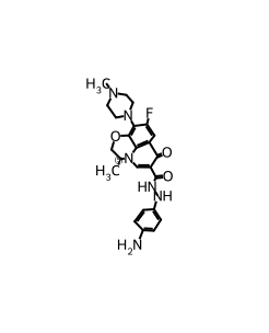 C[C@H]1COc2c(N3CCN(C)CC3)c(F)cc3c(=O)c(C(=O)NNc4ccc(N)cc4)cn1c23